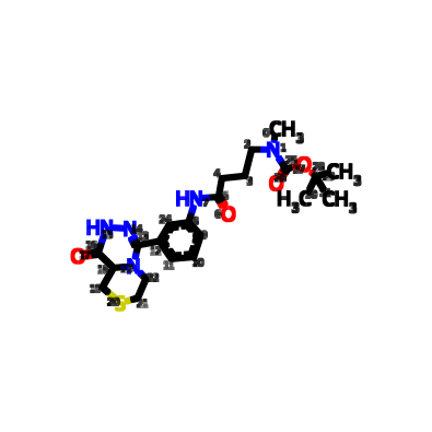 CN(CCCC(=O)Nc1cccc(C2=NNC(=O)C3CSCCN23)c1)C(=O)OC(C)(C)C